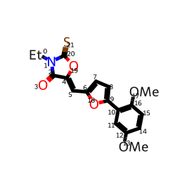 CCN1C(=O)C(=Cc2ccc(-c3cc(OC)ccc3OC)o2)OC1=S